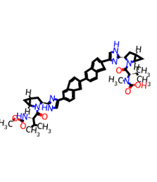 COC(=O)N[C@H](C(=O)N1[C@@H]2C[C@@H]2C[C@H]1c1nc(-c2ccc3cc(-c4ccc5cc(-c6c[nH]c([C@@H]7C[C@H]8C[C@H]8N7C(=O)[C@H](C(C)C)N(C)C(=O)O)n6)ccc5c4)ccc3c2)c[nH]1)C(C)C